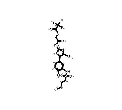 Cc1nc(NC(=O)COC(=O)C(F)(F)F)sc1-c1cnc(Cl)c(NS(=O)(=O)CCCCl)c1